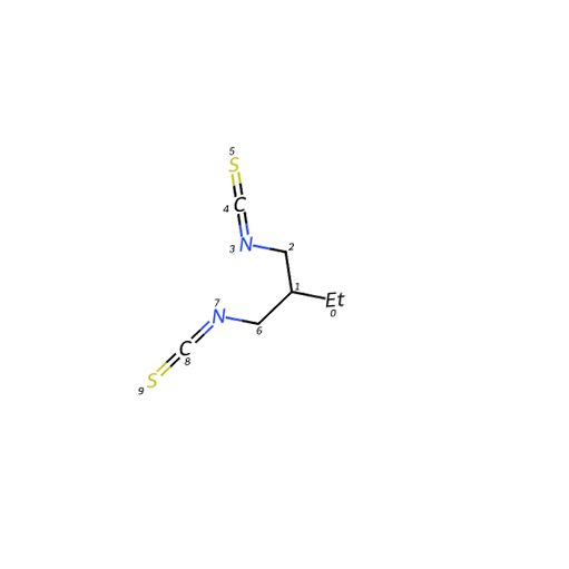 CCC(CN=C=S)CN=C=S